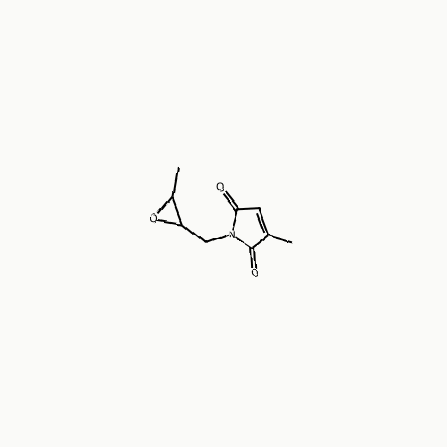 CC1=CC(=O)N(CC2OC2C)C1=O